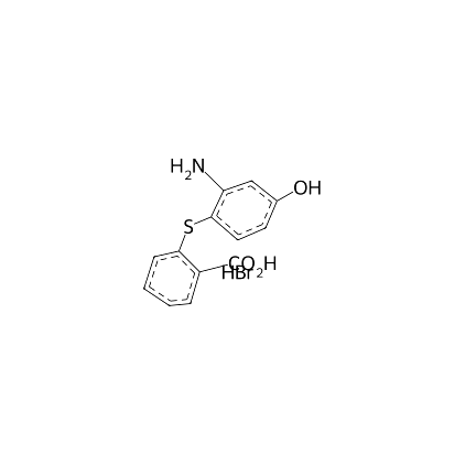 Br.Nc1cc(O)ccc1Sc1ccccc1C(=O)O